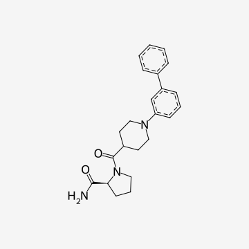 NC(=O)[C@@H]1CCCN1C(=O)C1CCN(c2cccc(-c3ccccc3)c2)CC1